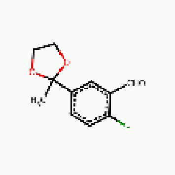 CC1(c2ccc(F)c(C=O)c2)OCCO1